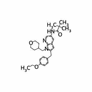 CCOc1ccc(Cc2cc3cc(NC(=O)C(C)(C)C)cnc3n2CC2CCOCC2)cc1